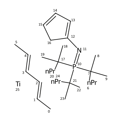 CC=CC=CC.CCCC(C)(C)P(=NC1=CC=CC1)(C(C)(C)CCC)C(C)(C)CCC.[Ti]